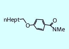 [CH2-][NH2+]C(=O)c1ccc(OCCCCCCCC)cc1